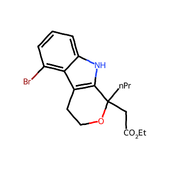 CCCC1(CC(=O)OCC)OCCc2c1[nH]c1cccc(Br)c21